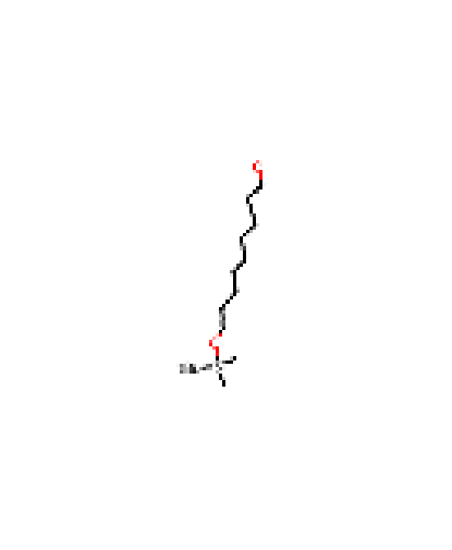 CC(C)(C)[Si](C)(C)OCCCCCCCCCO